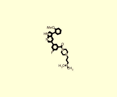 COc1ccccc1-c1c[nH]c2ncc(-c3cc(F)cc(C(=O)N4CCN(CCCN(C)C)CC4)c3)cc12